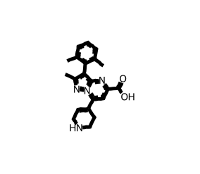 Cc1cccc(C)c1-c1c(C)nn2c(C3=CCNCC3)cc(C(=O)O)nc12